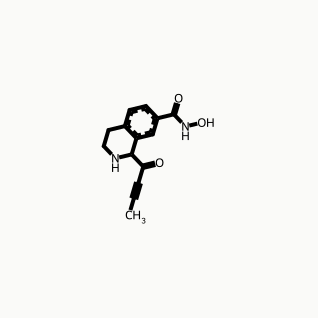 CC#CC(=O)C1NCCc2ccc(C(=O)NO)cc21